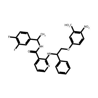 CC(NC(=O)c1cccnc1NC(COc1ccc([N+](=O)[O-])c(C(=O)O)c1)c1ccccc1)c1ccc(F)c(F)c1